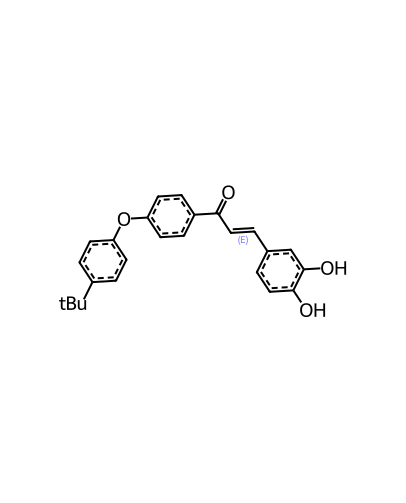 CC(C)(C)c1ccc(Oc2ccc(C(=O)/C=C/c3ccc(O)c(O)c3)cc2)cc1